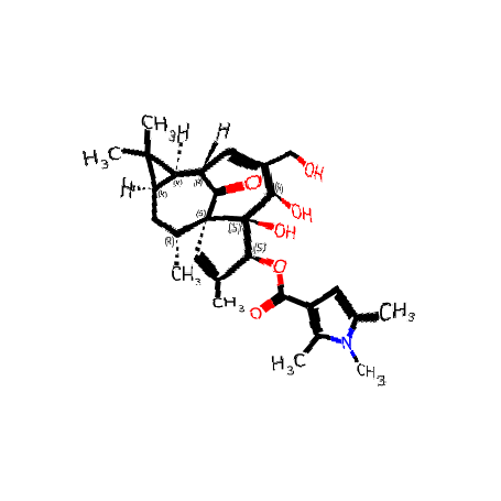 CC1=C[C@]23C(=O)[C@@H](C=C(CO)[C@@H](O)[C@]2(O)[C@H]1OC(=O)c1cc(C)n(C)c1C)[C@H]1[C@@H](C[C@H]3C)C1(C)C